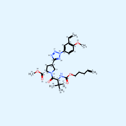 C=CCCCOC(=O)N[C@H](C(=O)N1C[C@H](c2nnn(-c3ccc(OC)c(C=C)c3)n2)C[C@H]1C(=O)OC)C(C)(C)C